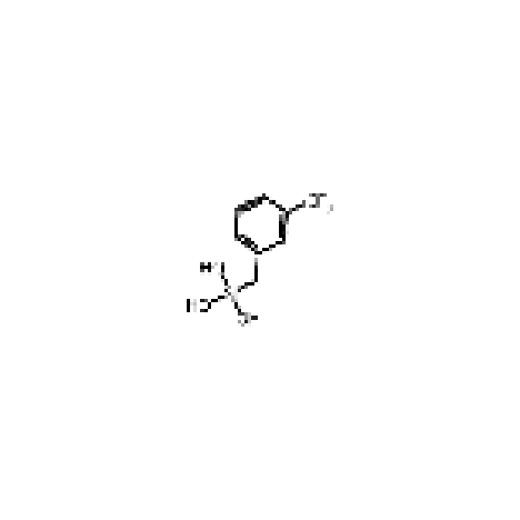 O[Si](O)(O)Cc1cccc(C(F)(F)F)c1